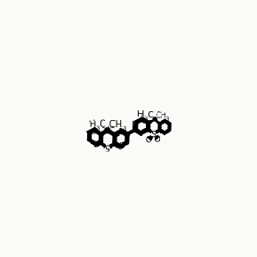 CC1(C)c2ccccc2Sc2ccc(-c3ccc4c(c3)S(=O)(=O)c3ccccc3C4(C)C)cc21